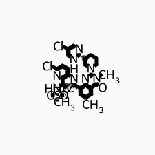 Cc1cc([C@@H](C)Nc2ccc(Cl)nc2C(=O)NS(C)(=O)=O)c2nc(N3CCC[C@@H](c4ncc(Cl)cn4)C3)n(C)c(=O)c2c1